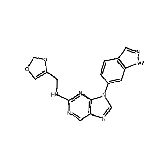 C1=C(CNc2ncc3ncn(-c4ccc5cn[nH]c5c4)c3n2)OCO1